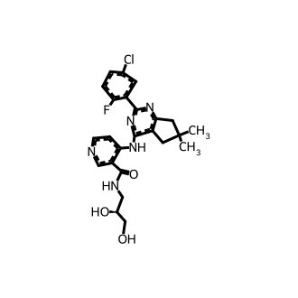 CC1(C)Cc2nc(-c3cc(Cl)ccc3F)nc(Nc3ccncc3C(=O)NC[C@H](O)CO)c2C1